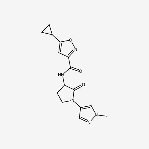 Cn1cc(N2CCC(NC(=O)c3cc(C4CC4)on3)C2=O)cn1